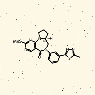 CSc1ncc2c(n1)N1CCC[C@H]1CN(c1cccc(-c3nnc(C)s3)c1)C2=O